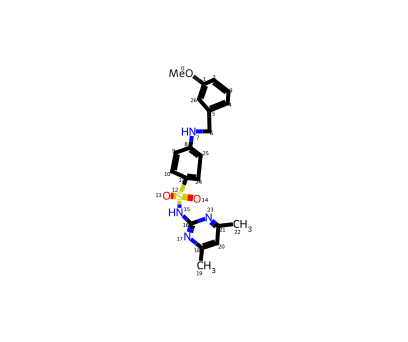 COc1cccc(CNc2ccc(S(=O)(=O)Nc3nc(C)cc(C)n3)cc2)c1